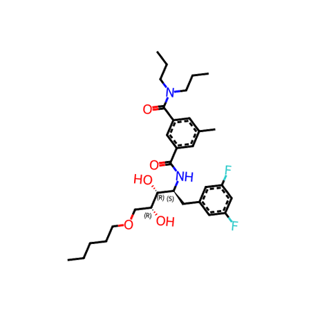 CCCCCOC[C@@H](O)[C@H](O)[C@H](Cc1cc(F)cc(F)c1)NC(=O)c1cc(C)cc(C(=O)N(CCC)CCC)c1